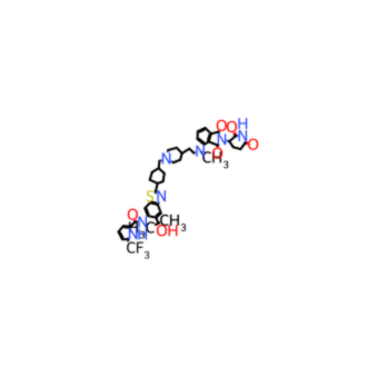 CN(CCC1CCN(CC2CCC(c3nc4cc(C(C)(C)O)c(NC(=O)c5cccc(C(F)(F)F)n5)cc4s3)CC2)CC1)c1cccc2c1C(=O)N(C1CCC(=O)NC1=O)C2=O